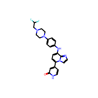 O=c1cc(-c2ccc(Nc3ccc(N4CCN(CC(F)F)CC4)cc3)c3nccn23)cc[nH]1